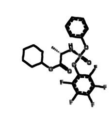 C[C@H](N[P@](=O)(Oc1ccccc1)Oc1c(F)c(F)c(F)c(F)c1F)C(=O)OC1CCCCC1